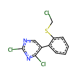 ClCSc1ccccc1-c1cnc(Cl)nc1Cl